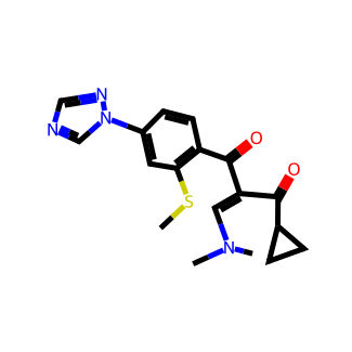 CSc1cc(-n2cncn2)ccc1C(=O)/C(=C/N(C)C)C(=O)C1CC1